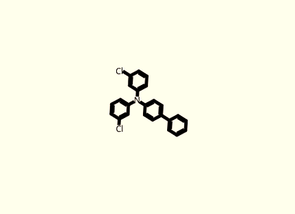 Clc1cccc(N(c2ccc(-c3ccccc3)cc2)c2cccc(Cl)c2)c1